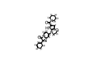 O=C(c1cc2c([nH]1)N(C1=CC3N=C(C4=CC=CCC4)C(=O)N3C=C1)CCO2)N1CCCCC1